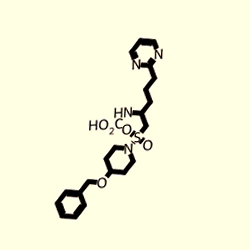 O=C(O)NC(CCCc1ncccn1)CS(=O)(=O)N1CCC(OCc2ccccc2)CC1